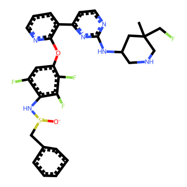 CC1(CF)CNCC(Nc2nccc(-c3cccnc3Oc3cc(F)c(N[S+]([O-])Cc4ccccc4)c(F)c3F)n2)C1